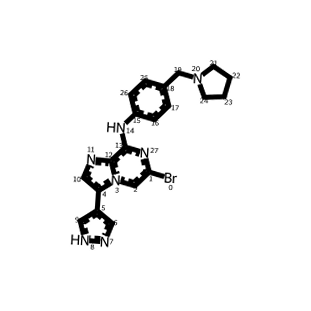 Brc1cn2c(-c3cn[nH]c3)cnc2c(Nc2ccc(CN3CCCC3)cc2)n1